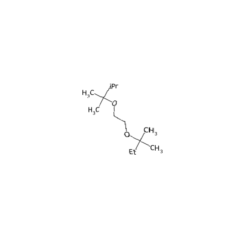 CCC(C)(C)OCCOC(C)(C)C(C)C